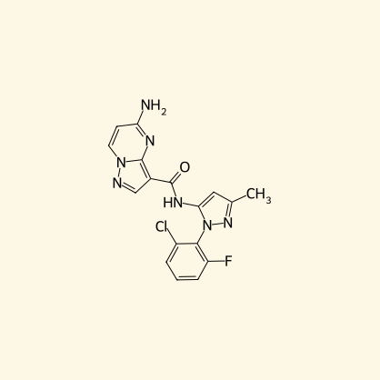 Cc1cc(NC(=O)c2cnn3ccc(N)nc23)n(-c2c(F)cccc2Cl)n1